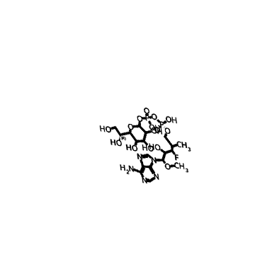 COC(C(O)C(F)C(C)COP(=O)(O)OP(=O)(O)OC1OC([C@H](O)CO)C(O)C(O)C1O)n1cnc2c(N)ncnc21